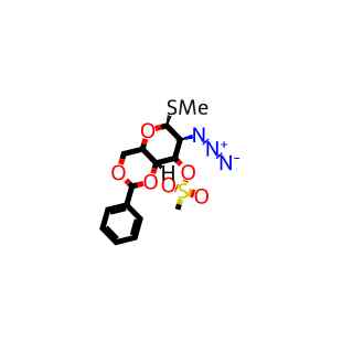 CS[C@@H]1OC2COC(c3ccccc3)O[C@H]2C(OS(C)(=O)=O)[C@@H]1N=[N+]=[N-]